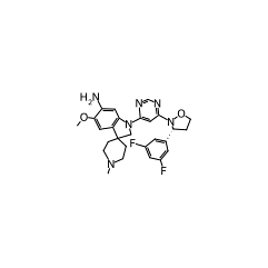 COc1cc2c(cc1N)N(c1cc(N3OCC[C@@H]3c3cc(F)cc(F)c3)ncn1)CC21CCN(C)CC1